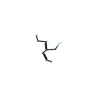 C/C=C\C(=C/CC)CF